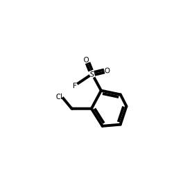 O=S(=O)(F)c1ccccc1CCl